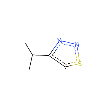 CC(C)c1[c]snn1